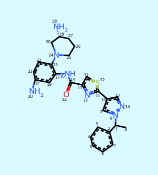 CC(c1ccccc1)n1cc(-c2nc(C(=O)Nc3cc(N)ccc3N3CCC[C@@H](N)C3)cs2)cn1